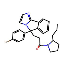 CCCC1CCCN1C(=O)CCC1(c2ccc(Br)cc2)c2ccccc2-c2nccn21